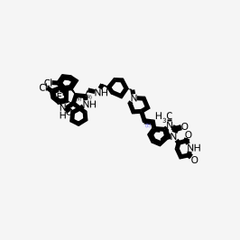 Cn1c(=O)n(C2CCC(=O)NC2=O)c2cccc(/C=C/C3CCN(C[C@H]4CC[C@H](CNC[C@@H]5NC6(CCCCC6)[C@@]6(C(=O)Nc7cc(Cl)ccc76)[C@H]5c5cccc(Cl)c5F)CC4)CC3)c21